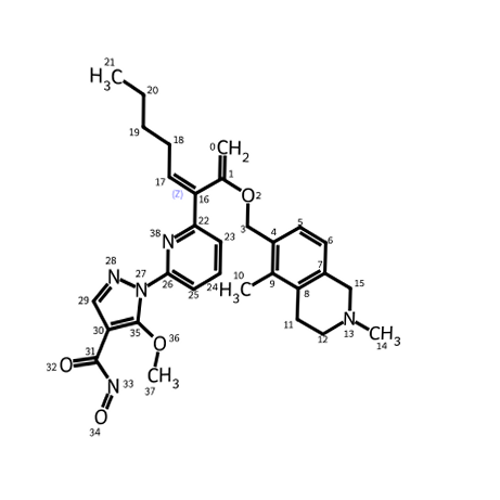 C=C(OCc1ccc2c(c1C)CCN(C)C2)/C(=C\CCCC)c1cccc(-n2ncc(C(=O)N=O)c2OC)n1